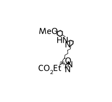 CCOC(=O)C[C@@H](CC(=O)CCCCc1cccc(NCc2ccc(OC)cc2)n1)c1cncnc1